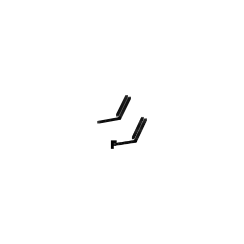 C=CC.C=CF